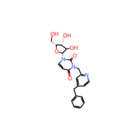 O=c1ccn([C@@H]2O[C@H](CO)[C@H](O)C2O)c(=O)n1Cc1cc(Cc2ccccc2)ccn1